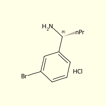 CCC[C@@H](N)c1cccc(Br)c1.Cl